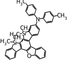 Cc1ccc(N(c2ccc(C)cc2)c2ccc3c(c2)[Si](C)(C)c2c4c(c5oc6ccccc6c5c2-3)-c2ccccc2[Si]4(C)C)cc1